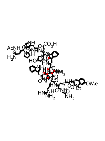 CCCC[C@@H](C(=O)N(C)[C@@H](CCCC)C(=O)N[C@@H](CCCNC(=N)N)C(=O)N[C@@H](CSCC(=O)N[C@@H](Cc1ccc(OC)cc1)C(=O)N(C)CC)C(=O)NCC(N)=O)N(C)C(=O)[C@H](Cc1c[nH]c2ccccc12)NC(=O)C(CCN)NC(=O)[C@H](Cc1c[nH]c2ccccc12)NC(=O)[C@@H]1C[C@@H](O)CN1C(=O)[C@H](CCC(=O)O)NC(=O)[C@H](Cc1cnc[nH]1)NC(=O)[C@@H]1CCCN1C(=O)[C@H](CC(N)=O)NC(C)=O